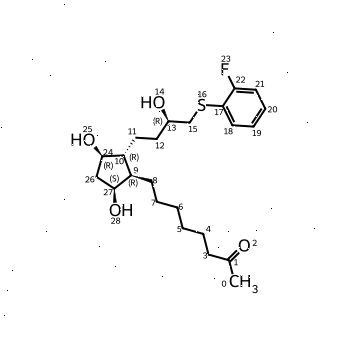 CC(=O)CCCCCC[C@@H]1[C@@H](CC[C@@H](O)CSc2ccccc2F)[C@H](O)C[C@@H]1O